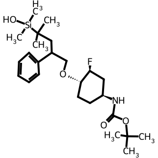 CC(C)(C)OC(=O)N[C@H]1CC[C@H](OCC(CC(C)(C)[Si](C)(C)O)c2ccccc2)[C@@H](F)C1